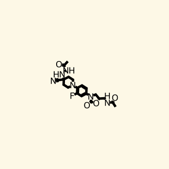 CC(=O)NCC1CN(c2ccc(N3CCC(C#N)(NNC(C)=O)CC3)c(F)c2)C(=O)O1